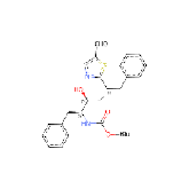 CC(C)(C)OC(=O)N[C@@H](Cc1ccccc1)[C@@H](O)C[C@@H](Cc1ccccc1)c1ncc(C=O)s1